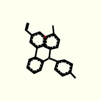 C=Cc1cccc(-c2ccccc2N(c2ccc(C)cc2)c2ccc(C)cc2)c1